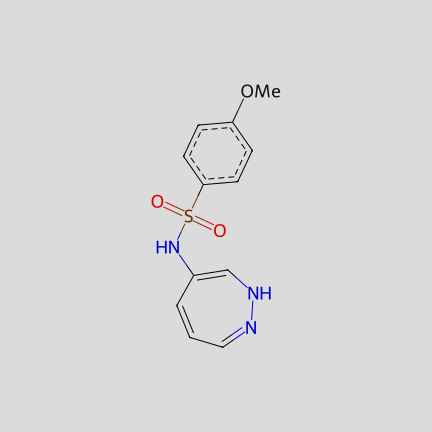 COc1ccc(S(=O)(=O)NC2=CNN=CC=C2)cc1